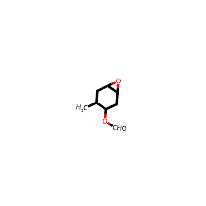 CC1CC2OC2CC1OC=O